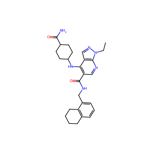 CCn1ncc2c(NC3CCC(C(N)=O)CC3)c(C(=O)NCc3cccc4c3CCCC4)cnc21